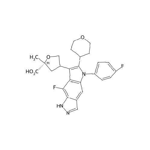 C[C@]1(C(=O)O)CC(c2c(C3CCOCC3)n(-c3ccc(F)cc3)c3cc4cn[nH]c4c(F)c23)CO1